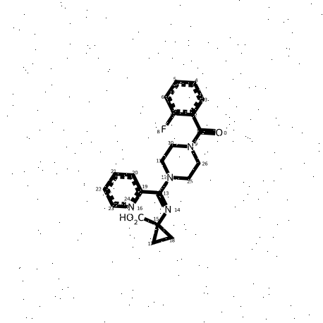 O=C(c1ccccc1F)N1CCN(C(=NC2(C(=O)O)CC2)c2ccccn2)CC1